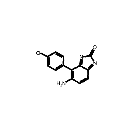 Nc1ccc2c(c1-c1ccc(Cl)cc1)=NC(=O)N=2